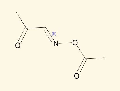 CC(=O)/C=N/OC(C)=O